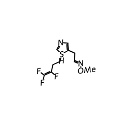 CON=CCC1=CN=C[SH]1CCC(F)=C(F)F